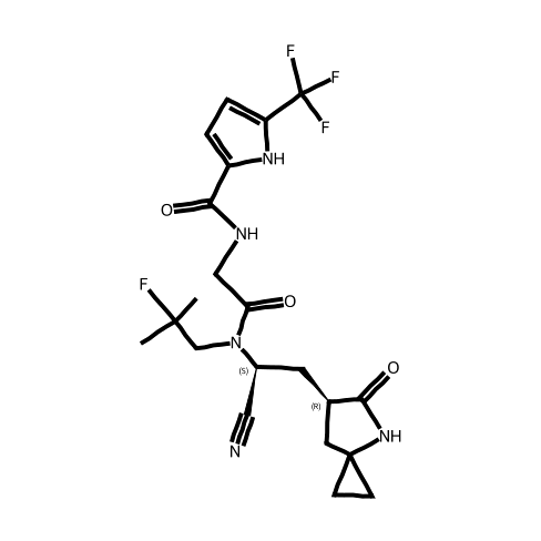 CC(C)(F)CN(C(=O)CNC(=O)c1ccc(C(F)(F)F)[nH]1)[C@H](C#N)C[C@@H]1CC2(CC2)NC1=O